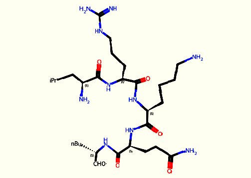 CCCC[C@@H]([C]=O)NC(=O)[C@H](CCC(N)=O)NC(=O)[C@H](CCCCN)NC(=O)[C@H](CCCNC(=N)N)NC(=O)[C@@H](N)CC(C)C